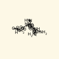 CC(C)C[C@H](NC(=O)[C@H](CCCCN)NC(=O)CNC(=O)[C@H](CO)NC(=O)[C@H](Cc1c[nH]cn1)NC(=O)CCCCCN1C(=O)CC(SC[C@@H](N)C(=O)NCC=O)C1=O)C(N)=O